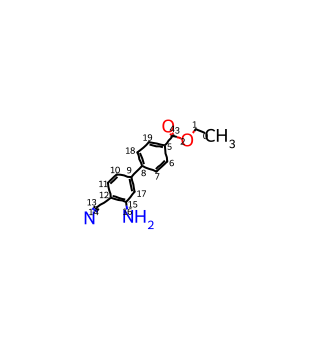 CCOC(=O)c1ccc(-c2ccc(C#N)c(N)c2)cc1